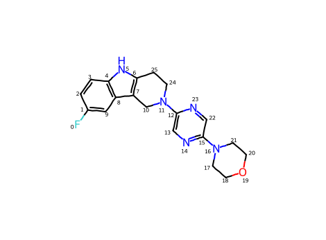 Fc1ccc2[nH]c3c(c2c1)CN(c1cnc(N2CCOCC2)cn1)CC3